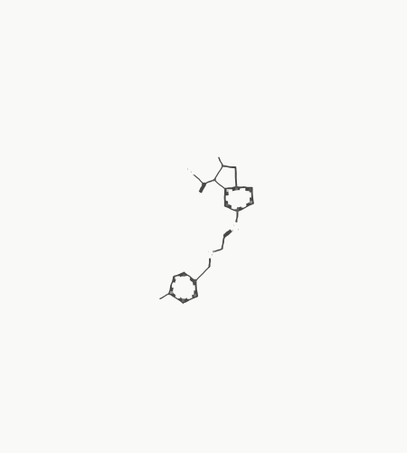 NC(=O)C1c2cc(N=CCNCc3ccc(F)cc3)ccc2CC1O